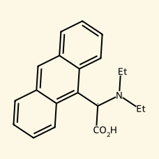 CCN(CC)[C](C(=O)O)c1c2ccccc2cc2ccccc12